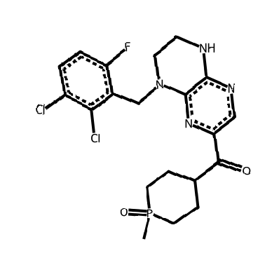 CP1(=O)CCC(C(=O)c2cnc3c(n2)N(Cc2c(F)ccc(Cl)c2Cl)CCN3)CC1